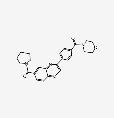 O=C(c1ccc2ncc(-c3ccc(C(=O)N4CCOCC4)cc3)nc2c1)N1CCCCC1